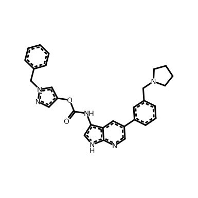 O=C(Nc1c[nH]c2ncc(-c3cccc(CN4CCCC4)c3)cc12)Oc1cnn(Cc2ccccc2)c1